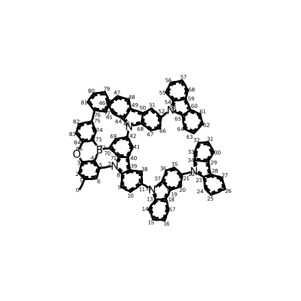 Cc1cc2c3c(c1)-n1c4ccc(-n5c6ccccc6c6cc(-n7c8ccccc8c8ccccc87)ccc65)cc4c4cc(-n5c6ccccc6c6cc(-n7c8ccccc8c8ccccc87)ccc65)cc(c41)B3c1cc(-c3ccccc3)ccc1O2